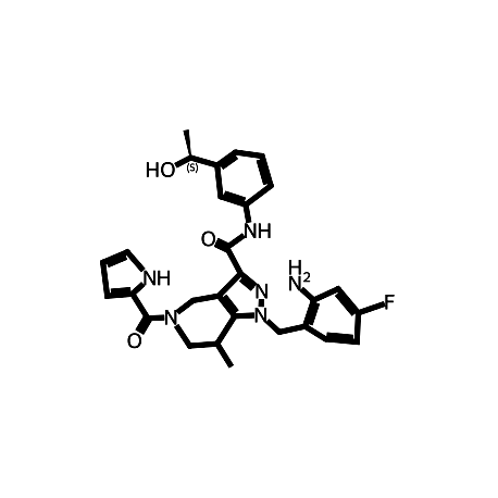 CC1CN(C(=O)c2ccc[nH]2)Cc2c(C(=O)Nc3cccc([C@H](C)O)c3)nn(Cc3ccc(F)cc3N)c21